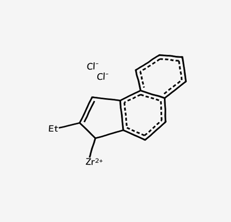 CCC1=Cc2c(ccc3ccccc23)[CH]1[Zr+2].[Cl-].[Cl-]